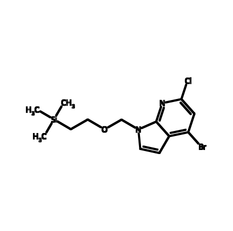 C[Si](C)(C)CCOCn1ccc2c(Br)cc(Cl)nc21